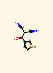 N#CC(C#N)C(=O)c1ccsc1